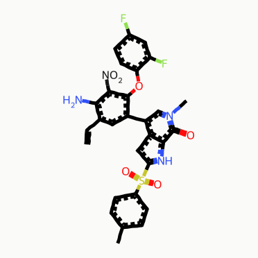 C=Cc1cc(-c2cn(C)c(=O)c3[nH]c(S(=O)(=O)c4ccc(C)cc4)cc23)c(Oc2ccc(F)cc2F)c([N+](=O)[O-])c1N